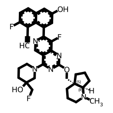 C#Cc1c(F)ccc2cc(O)cc(-c3ncc4c(N5CCCC(O)(CF)C5)nc(OC[C@]56CCC[C@H]5N(C)CCC6)nc4c3F)c12